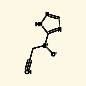 C#CC[S+]([O-])c1ncn[nH]1